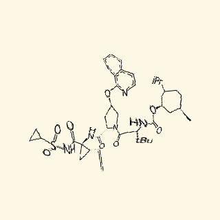 C=C[C@@H]1C[C@]1(NC(=O)[C@@H]1C[C@@H](Oc2nccc3ccccc23)CN1C(=O)C(NC(=O)O[C@@H]1C[C@H](C)CCC1C(C)C)C(C)(C)C)C(=O)NS(=O)(=O)C1CC1